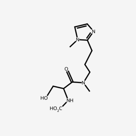 CN(CCCc1nccn1C)C(=O)C(CO)NC(=O)O